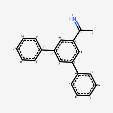 CC(=N)c1cc(-c2ccccc2)cc(-c2ccccc2)c1